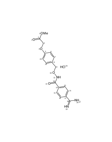 COC(=O)COc1ccc(CONC(=O)c2ccc(C(=N)N)cc2)cc1.Cl